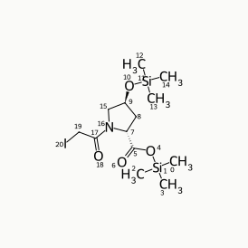 C[Si](C)(C)OC(=O)[C@H]1C[C@H](O[Si](C)(C)C)CN1C(=O)CI